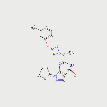 Cc1cccc(OC2CN([C@H](C)c3nc4c(cnn4C4CCCC4)c(=O)[nH]3)C2)c1